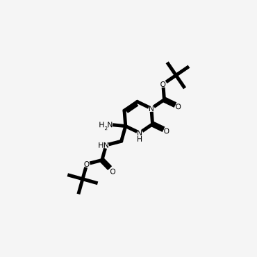 CC(C)(C)OC(=O)NCC1(N)C=CN(C(=O)OC(C)(C)C)C(=O)N1